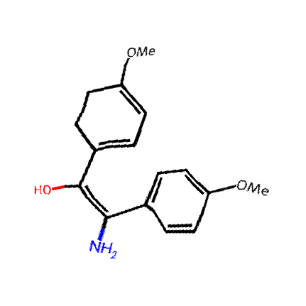 COC1=CC=C(/C(O)=C(/N)c2ccc(OC)cc2)CC1